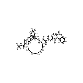 CN(C)C(=O)[C@@H](NC(=O)CNC(=O)C(=O)[C@@H]1CCCCCCCCCC[C@H](NC(=O)OC(C)(C)C)C(=O)N2CC3OC(C)(C)C[C@@H]3[C@H]2C(=O)N1)c1ccccc1